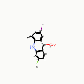 Cc1cc(I)ccc1Nc1cc(F)ccc1CO